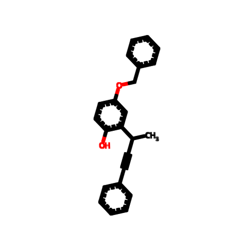 CC(C#Cc1ccccc1)c1cc(OCc2ccccc2)ccc1O